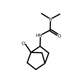 CN(C)C(=O)NC1CC2CCC1(Cl)C2